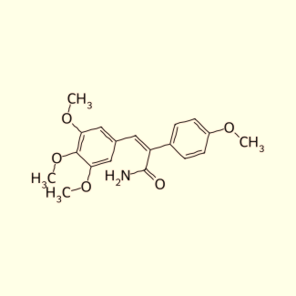 COc1ccc(C(=Cc2cc(OC)c(OC)c(OC)c2)C(N)=O)cc1